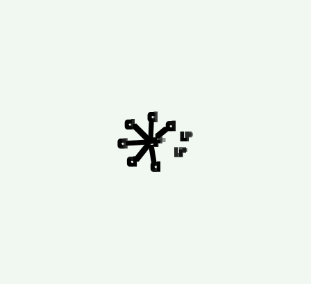 [Cl][Pt-2]([Cl])([Cl])([Cl])([Cl])[Cl].[Li+].[Li+]